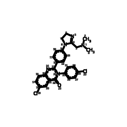 CN(C)CC1=NCCN1c1ccc(-c2nc3ccc(Cl)cc3c(=O)n2-c2ccc(Cl)cc2)cc1